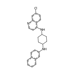 Clc1ccc2c(NC3CCC(Nc4ccc5ccccc5c4)CC3)ccnc2c1